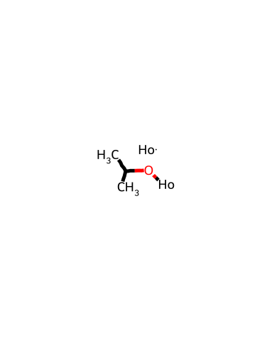 CC(C)[O][Ho].[Ho]